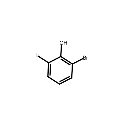 Oc1c(Br)cccc1I